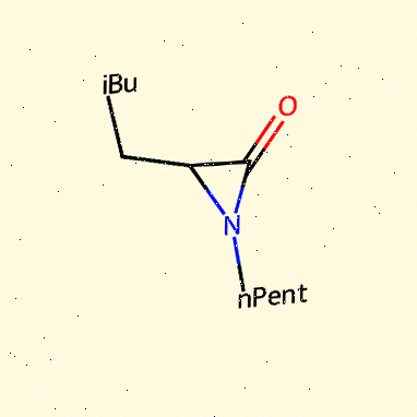 CCCCCN1C(=O)C1CC(C)CC